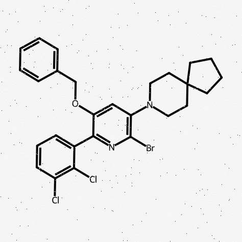 Clc1cccc(-c2nc(Br)c(N3CCC4(CCCC4)CC3)cc2OCc2ccccc2)c1Cl